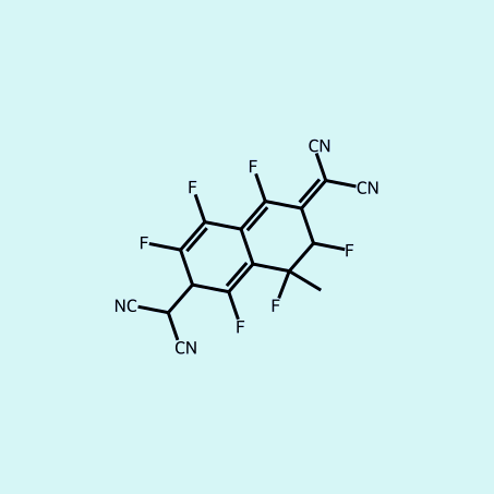 CC1(F)C2=C(F)C(C(C#N)C#N)C(F)=C(F)C2=C(F)C(=C(C#N)C#N)C1F